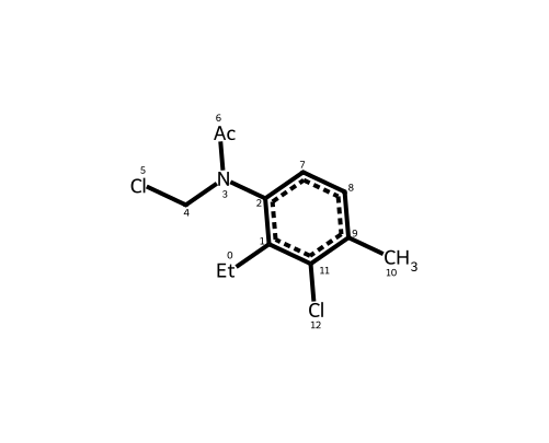 CCc1c(N(CCl)C(C)=O)ccc(C)c1Cl